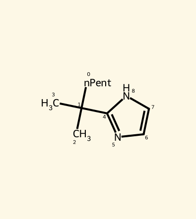 CCCCCC(C)(C)c1ncc[nH]1